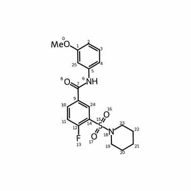 COc1cccc(NC(=O)c2ccc(F)c(S(=O)(=O)N3CCCCC3)c2)c1